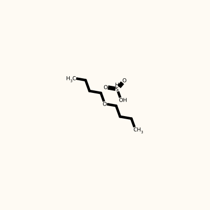 CCCCOCCCC.O=[SH](=O)O